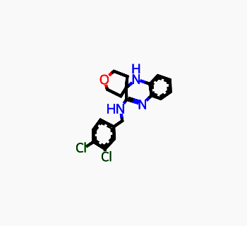 Clc1ccc(CNC2=Nc3ccccc3NC23CCOCC3)cc1Cl